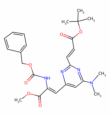 COC(=O)C(=Cc1cc(N(C)C)nc(/C=C/C(=O)OC(C)(C)C)n1)NC(=O)OCc1ccccc1